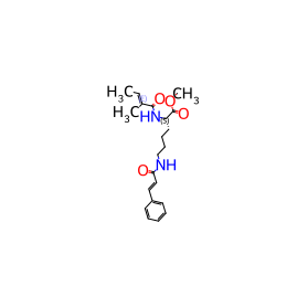 C/C=C(\C)C(=O)N[C@@H](CCCCNC(=O)C=Cc1ccccc1)C(=O)OC